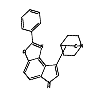 c1ccc(-c2nc3c(ccc4[nH]cc(C5CN6CCC5CC6)c43)o2)cc1